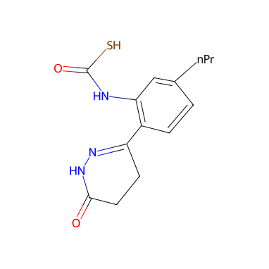 CCCc1ccc(C2=NNC(=O)CC2)c(NC(=O)S)c1